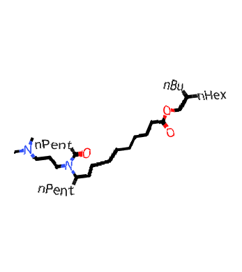 CCCCCCC(CCCC)COC(=O)CCCCCCCCC(CCCCC)N(CCCN(C)C)C(=O)CCCCC